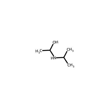 C[C](C)NC(C)O